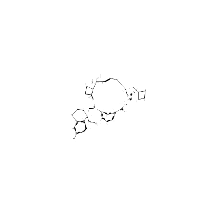 C[C@H]1C/C=C/[C@H](O)[C@@H]2CC[C@H]2CN2C[C@@]3(CCCc4cc(Cl)ccc43)COc3ccc(cc32)C(=O)NS(=O)(=O)[C@@H]1CC1CCC1